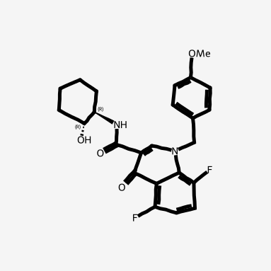 COc1ccc(Cn2cc(C(=O)N[C@@H]3CCCC[C@H]3O)c(=O)c3c(F)ccc(F)c32)cc1